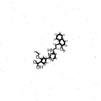 CCOc1cc(-c2nccc(NCCc3c(OC)ccc4ccccc34)n2)ccc1C(=O)O